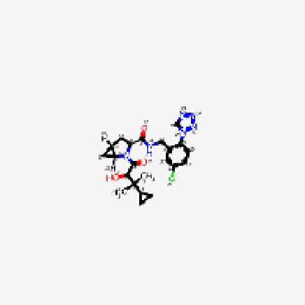 CC(C)(C1CC1)C(O)C(=O)N1[C@@H]2C[C@@H]2C[C@H]1C(=O)NCc1cc(Cl)ccc1-n1cnnn1